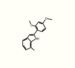 COc1ccc(-c2cc3cccc(C)c3[nH]2)c(OC)c1